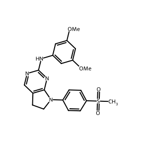 COc1cc(Nc2ncc3c(n2)N(c2ccc(S(C)(=O)=O)cc2)CC3)cc(OC)c1